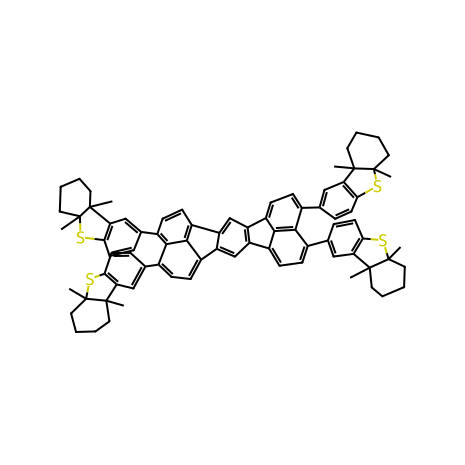 CC12CCCCC1(C)c1cc(-c3ccc4c5cc6c(cc5c5ccc(-c7ccc8c(c7)C7(C)CCCCC7(C)S8)c3c45)c3ccc(-c4ccc5c(c4)C4(C)CCCCC4(C)S5)c4c(-c5ccc7c(c5)C5(C)CCCCC5(C)S7)ccc6c43)ccc1S2